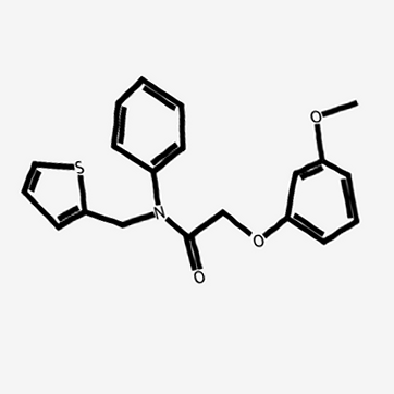 COc1cccc(OCC(=O)N(Cc2cccs2)c2ccccc2)c1